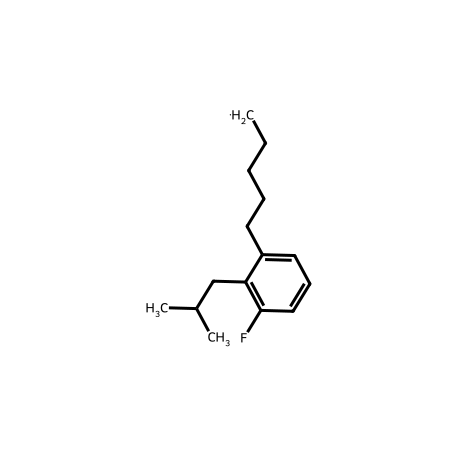 [CH2]CCCCc1cccc(F)c1CC(C)C